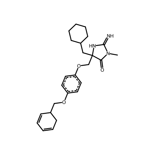 CN1C(=N)NC(COc2ccc(OCC3C=CC=CC3)cc2)(CC2CCCCC2)C1=O